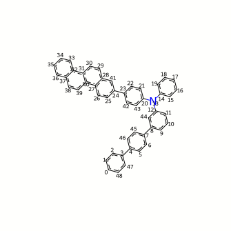 c1ccc(-c2ccc(-c3cccc(N(c4ccccc4)c4ccc(-c5ccc6c(ccc7c8ccccc8ccc67)c5)cc4)c3)cc2)cc1